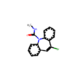 CNC(=O)N1c2ccccc2C=C(Br)c2ccccc21